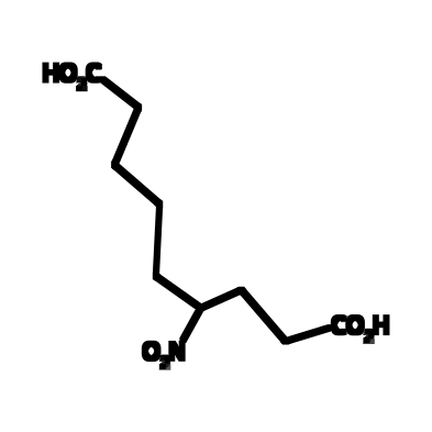 O=C(O)CCCCC(CCC(=O)O)[N+](=O)[O-]